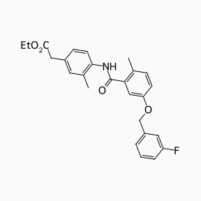 CCOC(=O)Cc1ccc(NC(=O)c2cc(OCc3cccc(F)c3)ccc2C)c(C)c1